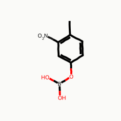 Cc1ccc(OB(O)O)cc1[N+](=O)[O-]